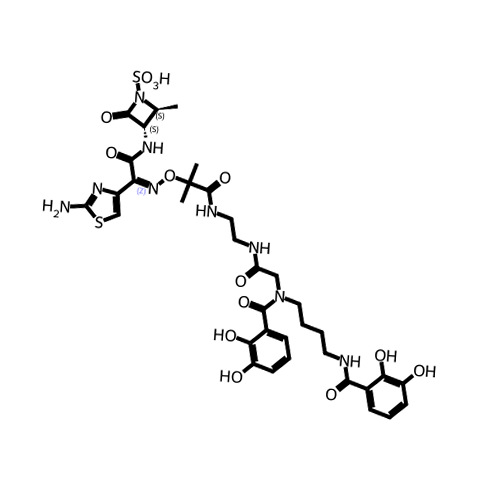 C[C@H]1[C@H](NC(=O)/C(=N\OC(C)(C)C(=O)NCCNC(=O)CN(CCCCNC(=O)c2cccc(O)c2O)C(=O)c2cccc(O)c2O)c2csc(N)n2)C(=O)N1S(=O)(=O)O